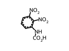 O=C(O)Nc1cccc([N+](=O)[O-])c1[N+](=O)[O-]